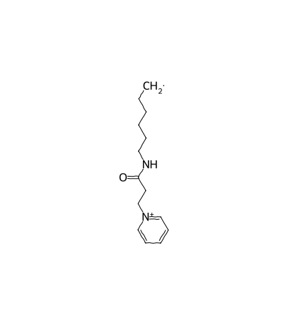 [CH2]CCCCCNC(=O)CC[n+]1ccccc1